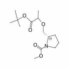 COC(=O)N1CCC[C@H]1COC(C)C(=O)OC(C)(C)C